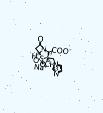 C[C@]1(Cn2ccnc2)[C@H](C(=O)[O-])N2C(=O)C[C@@H]2S1(=O)=O.[Na+]